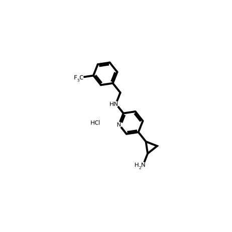 Cl.NC1CC1c1ccc(NCc2cccc(C(F)(F)F)c2)nc1